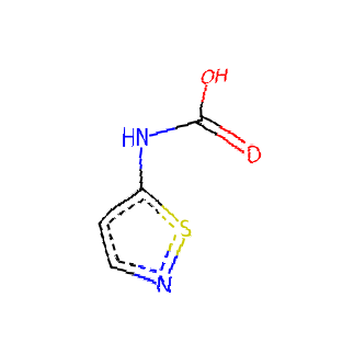 O=C(O)Nc1ccns1